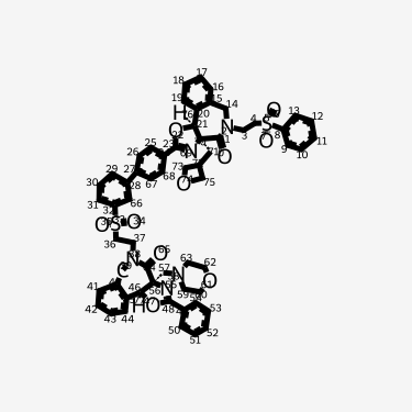 O=C1N(CCS(=O)(=O)c2ccccc2)Cc2ccccc2[C@@H]2OC(c3ccc(-c4cccc(S(=O)(=O)CCN5Cc6ccccc6[C@@H]6OC(c7ccccc7)=N[C@]6(CN6CCOCC6)C5=O)c4)cc3)=N[C@]12CC1COC1